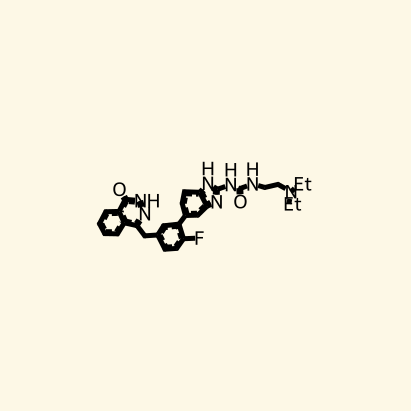 CCN(CC)CCNC(=O)Nc1nc2cc(-c3cc(Cc4n[nH]c(=O)c5ccccc45)ccc3F)ccc2[nH]1